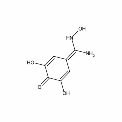 NC(NO)=C1C=C(O)C(=O)C(O)=C1